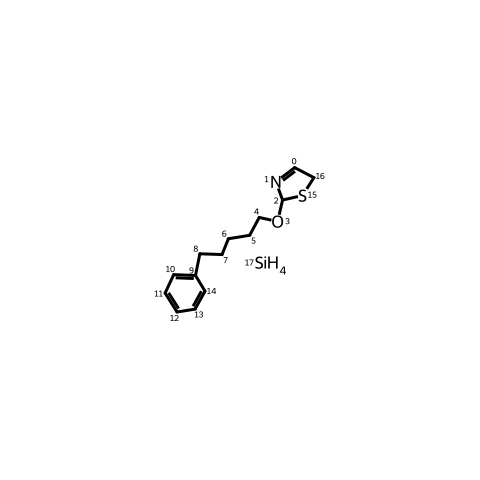 C1=NC(OCCCCCc2ccccc2)SC1.[SiH4]